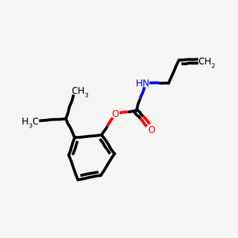 C=CCNC(=O)Oc1ccccc1C(C)C